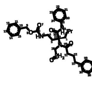 CC(C)C[C@@](CCNC(=O)OCc1ccccc1)(C(=O)Nc1ccccc1)N(C[PH2]=O)C(=O)CCCc1ccccc1